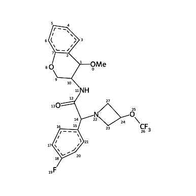 COC1c2ccccc2OCC1NC(=O)C(c1ccc(F)cc1)N1CC(OC(F)(F)F)C1